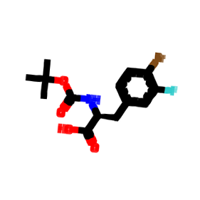 CC(C)(C)OC(=O)N[C@@H](Cc1ccc(Br)c(F)c1)C(=O)O